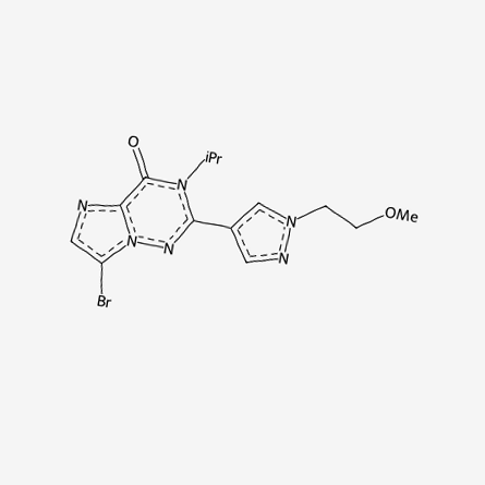 COCCn1cc(-c2nn3c(Br)cnc3c(=O)n2C(C)C)cn1